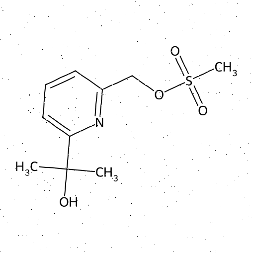 CC(C)(O)c1cccc(COS(C)(=O)=O)n1